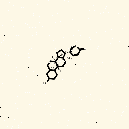 C[C@]12CC[C@H]3[C@@H](CCC4CC(O)CC[C@@]43C)[C@@H]1CC[C@@H]2c1ccc(=O)oc1